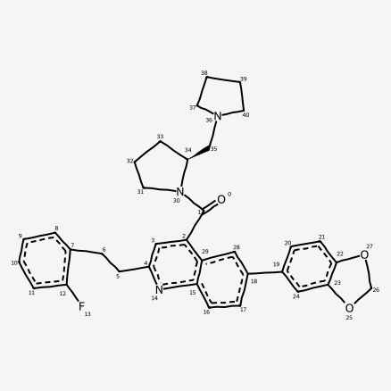 O=C(c1cc(CCc2ccccc2F)nc2ccc(-c3ccc4c(c3)OCO4)cc12)N1CCC[C@H]1CN1CCCC1